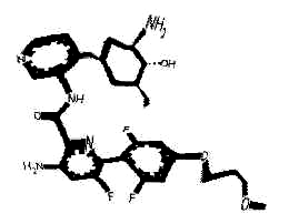 COCCOc1cc(F)c(-c2nc(C(=O)Nc3cnccc3[C@H]3C[C@@H](N)[C@H](O)[C@@H](C)C3)c(N)cc2F)c(F)c1